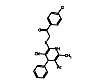 [C-]#[N+]C1=C(SCC(=O)c2ccc(Cl)cc2)NC(C)=C(C(C)=O)C1c1ccccc1